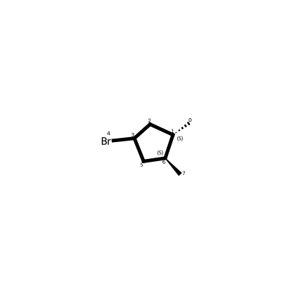 C[C@H]1CC(Br)C[C@@H]1C